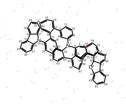 C1=CC(c2ccc(N(c3cccc(-c4ccccc4-c4ccccc4-n4c5ccccc5c5ccccc54)c3)c3ccccc3-c3cccc(-c4ccccc4)c3)cc2)C2Oc3ccccc3C2=C1